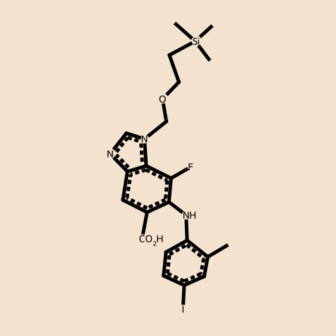 Cc1cc(I)ccc1Nc1c(C(=O)O)cc2ncn(COCC[Si](C)(C)C)c2c1F